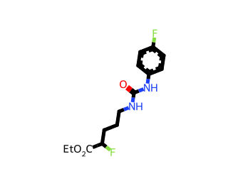 CCOC(=O)C(F)CCCNC(=O)Nc1ccc(F)cc1